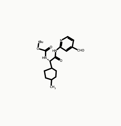 CC1CCC([C@H](NC(=O)OC(C)(C)C)C(=O)Nc2cc(C=O)ccn2)CC1